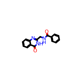 O=C(NCc1nc2ccccc2c(=O)[nH]1)c1ccccc1